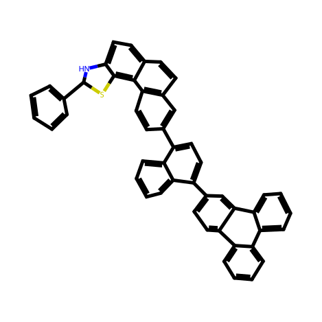 c1ccc(C2Nc3ccc4ccc5cc(-c6ccc(-c7ccc8c9ccccc9c9ccccc9c8c7)c7ccccc67)ccc5c4c3S2)cc1